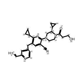 C=Cc1cc(Cc2cc(C#N)c(N3CCN(C(=O)CCO)[C@H](C4CC4)C3)nc2C2CC2)ccn1